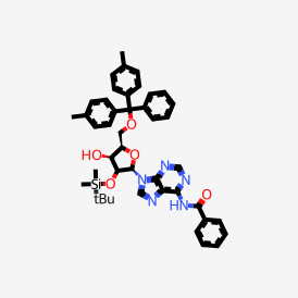 Cc1ccc(C(OC[C@H]2O[C@@H](n3cnc4c(NC(=O)c5ccccc5)ncnc43)C(O[Si](C)(C)C(C)(C)C)[C@H]2O)(c2ccccc2)c2ccc(C)cc2)cc1